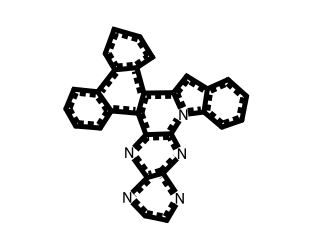 c1ccc2c(c1)cc1c3c4ccccc4c4ccccc4c3c3nc4nccnc4nc3n21